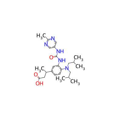 Cc1ncc(NC(=O)Nc2cc(C(C)CC(=O)O)ccc2N(CC(C)C)CC(C)C)cn1